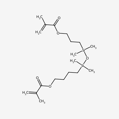 C=C(C)C(=O)OCCCC[Si](C)(C)O[Si](C)(C)CCCOC(=O)C(=C)C